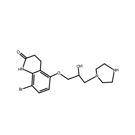 O=C1CCc2c(OCC(O)CN3CCNCC3)ccc(Br)c2N1